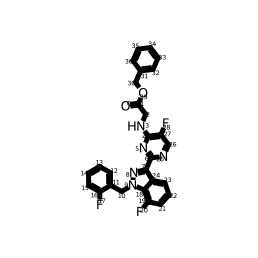 O=C(CNc1nc(-c2nn(Cc3ccccc3F)c3c(F)cccc23)ncc1F)OCc1ccccc1